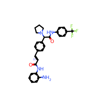 Nc1ccccc1NC(=O)/C=C/c1ccc(C(C(=O)Nc2ccc(C(F)(F)F)cc2)N2CCCC2)cc1